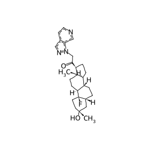 C[C@@]1(O)CC[C@@]2(F)[C@H](CC[C@H]3[C@@H]4CC[C@H](C(=O)Cn5ncc6ccncc65)[C@@]4(C)CC[C@@H]32)C1